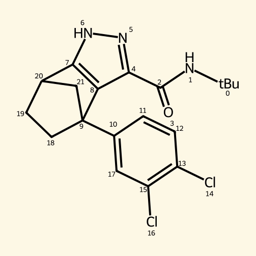 CC(C)(C)NC(=O)c1n[nH]c2c1C1(c3ccc(Cl)c(Cl)c3)CCC2C1